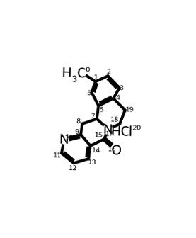 Cc1ccc2c(c1)C1Cc3ncccc3C(=O)N1CC2.Cl